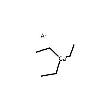 C[CH2][Ga]([CH2]C)[CH2]C.[Ar]